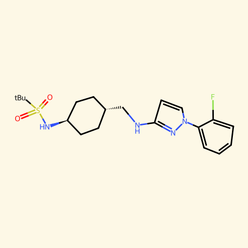 CC(C)(C)S(=O)(=O)N[C@H]1CC[C@H](CNc2ccn(-c3ccccc3F)n2)CC1